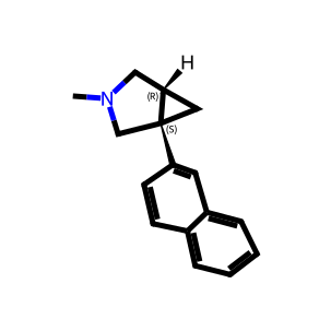 CN1C[C@@H]2C[C@]2(c2ccc3ccccc3c2)C1